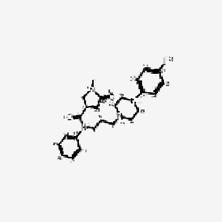 CN1CC(C(=O)N(CCCN2CCN(c3ccc(F)cc3)CC2)c2ccccc2)CC1=O